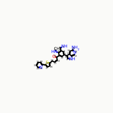 CNc1c(C=N)cc(-c2c[nH]c3cnc(N)cc23)cc1C(=O)/C=C\Cc1ccc(-c2ccccn2)s1